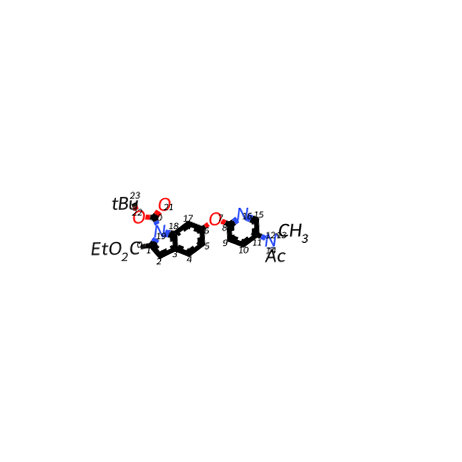 CCOC(=O)c1cc2ccc(Oc3ccc(N(C)C(C)=O)cn3)cc2n1C(=O)OC(C)(C)C